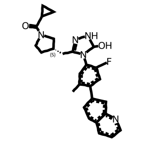 Cc1cc(N2C(C[C@@H]3CCN(C(=O)C4CC4)C3)=NNC2O)c(F)cc1-c1ccc2cccnc2c1